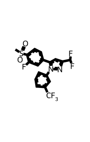 CS(=O)(=O)c1ccc(-c2cc(C(F)F)nn2-c2cccc(C(F)(F)F)c2)cc1F